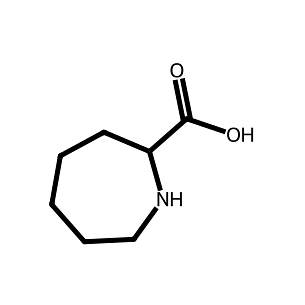 O=C(O)C1CCCCCN1